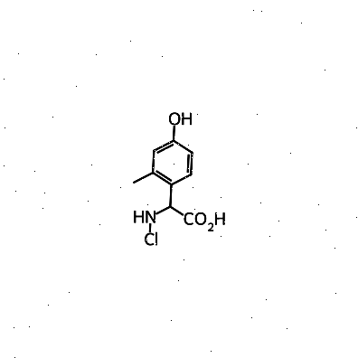 Cc1cc(O)ccc1C(NCl)C(=O)O